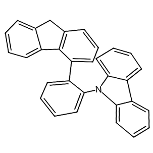 c1ccc2c(c1)Cc1cccc(-c3ccccc3-n3c4ccccc4c4ccccc43)c1-2